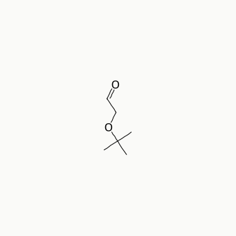 CC(C)(C)OCC=O